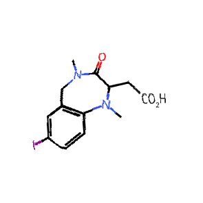 CN1Cc2cc(I)ccc2N(C)C(CC(=O)O)C1=O